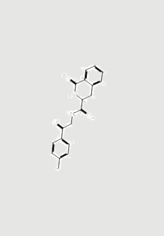 Cc1ccc(C(=O)CNC(=O)C2Cc3ccccc3C(=O)O2)cc1